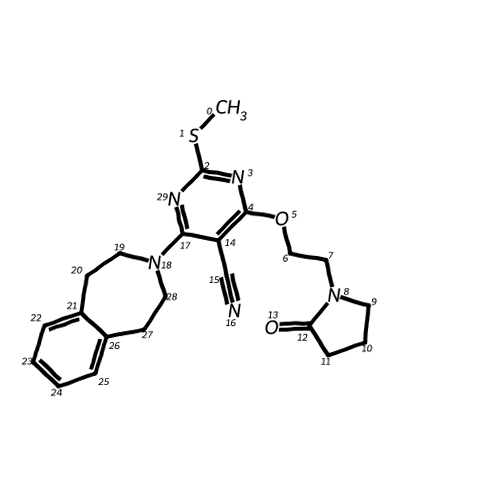 CSc1nc(OCCN2CCCC2=O)c(C#N)c(N2CCc3ccccc3CC2)n1